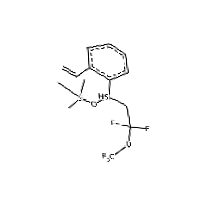 C=Cc1ccccc1[SiH](CC(F)(F)OC(F)(F)F)O[Si](C)(C)C